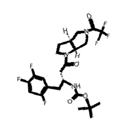 CC(C)(C)OC(=O)N[C@@H](CC(=O)N1CC[C@H]2CN(C(=O)C(F)(F)F)C[C@H]21)Cc1cc(F)c(F)cc1F